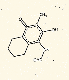 Cn1c(O)c(NC=O)c2c(c1=O)CCCC2